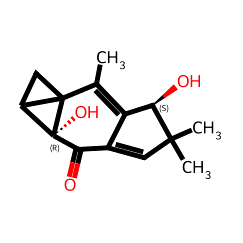 CC1=C2C(=CC(C)(C)[C@@H]2O)C(=O)[C@@]2(O)C3CC132